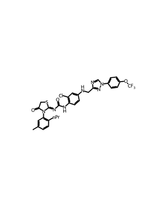 CCCc1ccc(C)cc1N1C(=O)CSC1=NC(=O)Nc1ccc(NCc2ncn(-c3ccc(OC(F)(F)F)cc3)n2)cc1Cl